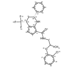 CC(CNC(=O)c1cnn2c1N[C@@H](c1ccccc1)C[C@H]2C(F)(F)F)Oc1ccccc1Cl